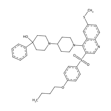 CCCCOc1ccc(S(=O)(=O)c2cnc3ccc(SC)cc3c2N2CCC(N3CCC(O)(c4ccccc4)CC3)CC2)cc1